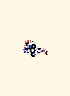 CC(C)OC(=O)N1CCN([C@H]2c3ccc(Cl)cc3C([C@@H](NC(=O)C(C)(C)O)c3cncn3C)=Cc3cccnc32)CC1